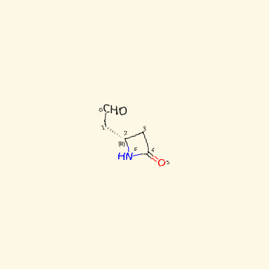 O=CC[C@@H]1CC(=O)N1